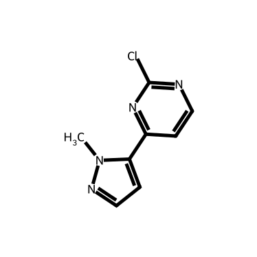 Cn1nccc1-c1ccnc(Cl)n1